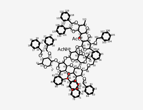 CC(=O)NC1[C@H](OC2[C@H](OC3[C@H](C)OC(C)[C@H](OCc4ccccc4)[C@@H]3OCc3ccccc3)OC(C)[C@H](OCc3ccccc3)[C@@H]2O[C@H]2O[C@@H](COCc3ccccc3)[C@@H](OCc3ccccc3)C(OCc3ccccc3)C2OCc2ccccc2)OC2COC(C)(C)O[C@H]2[C@@H]1O[C@@H]1OC(C)[C@H](OCc2ccccc2)[C@H](O[C@@H]2OC(C)[C@H](OCc3ccccc3)[C@H](OCc3ccccc3)C2C)C1OC(C)=O